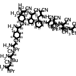 CC(C)(C)C(N)=CC#N.CC(C)C(N)=CC#N.CC(C)CC(N)=CC#N.CC1(C(N)=CC#N)CCCCC1.CCC(C)(CC)C(N)=CC#N.CCC(C)C(N)=CC#N.CCC(N)=CC#N.CCCC(N)=CC#N.N#CC=C(N)C1CCCC1.N#CC=C(N)C1CCCCC1.N#CC=C(N)CC1CCCCC1